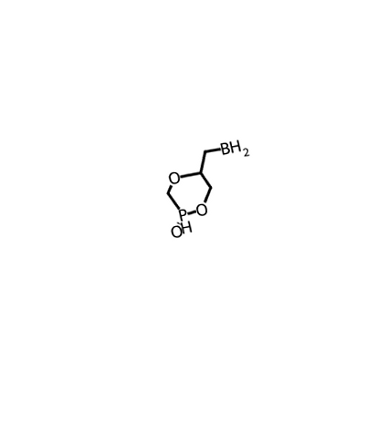 BCC1CO[PH](=O)CO1